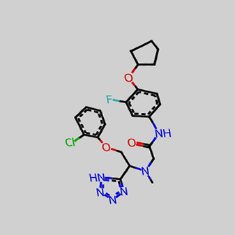 CN(CC(=O)Nc1ccc(OC2CCCC2)c(F)c1)C(COc1ccccc1Cl)c1nnn[nH]1